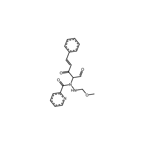 COCNN(C(=O)c1ccccn1)C([C]=O)C(=O)C=Cc1ccccc1